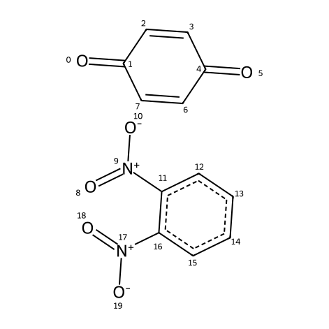 O=C1C=CC(=O)C=C1.O=[N+]([O-])c1ccccc1[N+](=O)[O-]